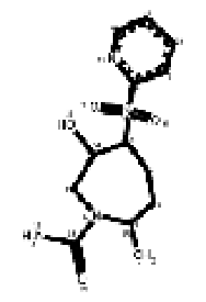 C[C@@H]1CC[C](S(=O)(=O)c2ccccn2)C(O)CN1C(N)=O